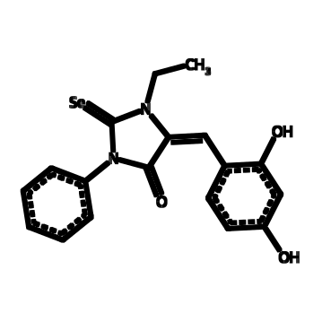 CCN1C(=[Se])N(c2ccccc2)C(=O)C1=Cc1ccc(O)cc1O